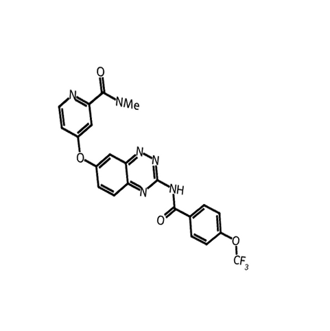 CNC(=O)c1cc(Oc2ccc3nc(NC(=O)c4ccc(OC(F)(F)F)cc4)nnc3c2)ccn1